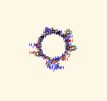 CCCC[C@H]1C(=O)N(C)[C@@H](CO)C(=O)N[C@@H](CCCNC(=N)N)C(=O)NC(C(=O)NCC(N)=O)CSCC(=O)N[C@@H](Cc2ccc(O)cc2)C(=O)N(C)[C@@H](C)C(=O)N[C@@H](CC(N)=O)C(=O)N2CCC[C@H]2C(=O)N[C@@H](Cc2cnc[nH]2)C(=O)N[C@@H](CC(C)C)C(=O)N2CCC[C@H]2C(=O)N[C@@H](Cc2c[nH]c3ccccc23)C(=O)N[C@@H](CO)C(=O)N[C@@H](Cc2csc3ccccc23)C(=O)N1C